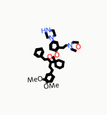 COc1ccc(CCC(CCc2ccccc2)C2(C(=O)Oc3ccc(N4CCNCC4)cc3CCN3CCOCC3)CCCCC2)cc1OC